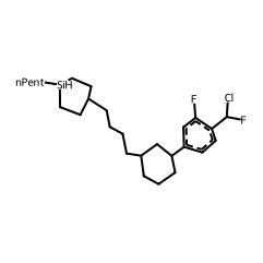 CCCCC[SiH]1CCC(CCCCC2CCCC(c3ccc(C(F)Cl)c(F)c3)C2)CC1